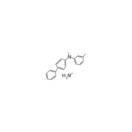 CN.Cc1cccc(N(C)c2ccc(-c3ccccc3)cc2)c1